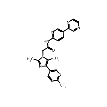 Cc1nc(-c2ccc(C(F)(F)F)nc2)c(C)n1CC(=O)Nc1ccc(-c2cnccn2)cn1